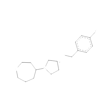 Fc1ccc(CO[C@@H]2CCN(C3CCCOCC3)C2)cc1